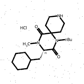 CCCCN1C(=O)[C@H](CC2CCCCC2)N(C)C(=O)C12CCNCC2.Cl